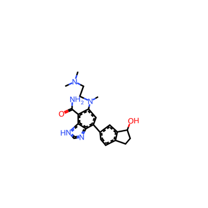 CN(C)CCN(C)c1cc(-c2ccc3c(c2)C(O)CC3)c2nc[nH]c2c1C(N)=O